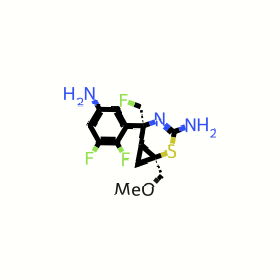 COC[C@]12CC1[C@@](CF)(c1cc(N)cc(F)c1F)N=C(N)S2